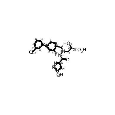 O=C(NN(Cc1ccc(-c2cccc(Cl)c2)cc1F)C[C@@H](O)C(=O)O)c1cn(O)nn1